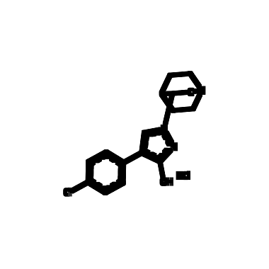 Cl.Oc1nn(C2CN3CCC2CC3)cc1-c1ccc(Cl)cc1